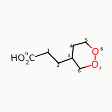 O=C(O)CCC1CCOOC1